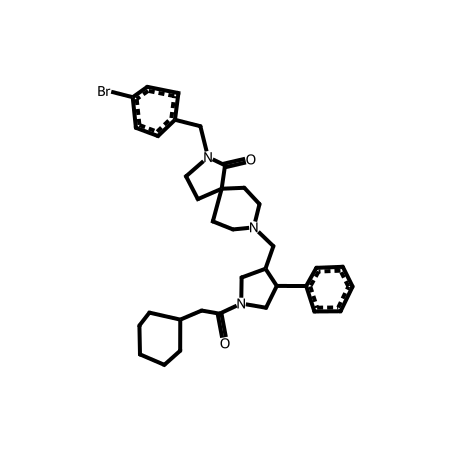 O=C(CC1CCCCC1)N1CC(CN2CCC3(CC2)CCN(Cc2ccc(Br)cc2)C3=O)C(c2ccccc2)C1